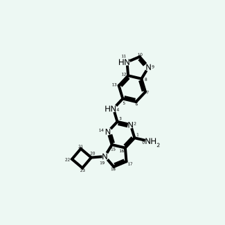 Nc1nc(Nc2ccc3nc[nH]c3c2)nc2c1ccn2C1CCC1